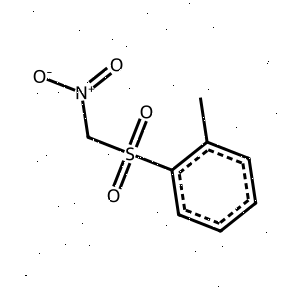 Cc1ccccc1S(=O)(=O)C[N+](=O)[O-]